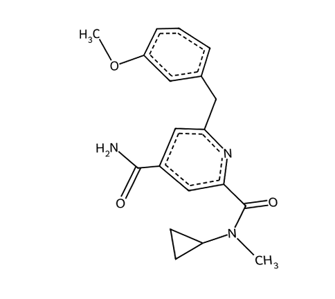 COc1cccc(Cc2cc(C(N)=O)cc(C(=O)N(C)C3CC3)n2)c1